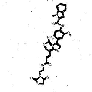 COc1cc(-c2csc3c(/C=C/C(=O)NCCN4C(=O)CSC4=O)cnc(N)c23)ccc1NC(=O)c1cc2ccccc2n1C